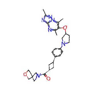 Cc1nc2nc(C)c(OC3CCN(c4ccc(C5CC(C(=O)N6CC7(COC7)C6)C5)cc4)C3)c(C)n2n1